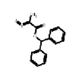 CC(=S=O)C(=O)OC(c1ccccc1)c1ccccc1